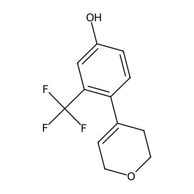 Oc1ccc(C2=CCOCC2)c(C(F)(F)F)c1